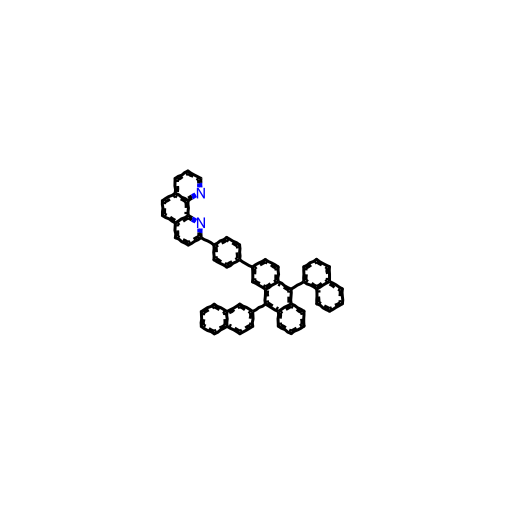 c1ccc2cc(-c3c4ccccc4c(-c4cccc5ccccc45)c4ccc(-c5ccc(-c6ccc7ccc8cccnc8c7n6)cc5)cc34)ccc2c1